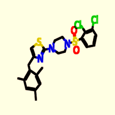 Cc1cc(C)c(Cc2csc(N3CCN(S(=O)(=O)c4cccc(Cl)c4Cl)CC3)n2)c(C)c1